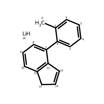 Cc1ccccc1-c1cccc2c1C=CC2.[LiH]